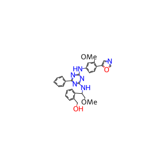 COCC(Nc1nc(Nc2ccc(-c3cnco3)c(OC)c2)nc(-c2ccccc2)n1)c1ccccc1CO